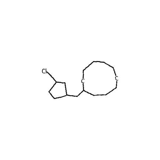 ClC1CCC(CC2CCCCCCCCC2)C1